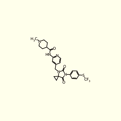 CN1CCC(C(=O)Nc2cc(CN3C(=O)N(c4ccc(SC(F)(F)F)cc4)C(=O)C34CC4)ccn2)CC1